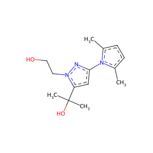 Cc1ccc(C)n1-c1cc(C(C)(C)O)n(CCO)n1